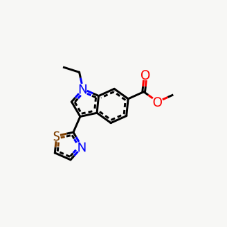 CCn1cc(-c2nccs2)c2ccc(C(=O)OC)cc21